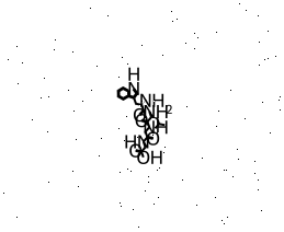 CC(C)C[C@H](NC(=O)[C@@H](N)Cc1c[nH]c2ccccc12)C(=O)NCC(=O)NCC(=O)O